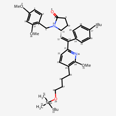 COc1ccc(CN2C(=O)CC[C@@H]2/C=C(\c2ccc(C(C)(C)C)cc2)c2ccc(CCCCO[Si](C)(C)C(C)(C)C)c(OC)n2)c(OC)c1